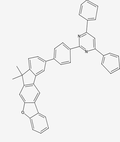 CC1(C)c2ccc(-c3ccc(-c4nc(-c5ccccc5)cc(-c5ccccc5)n4)cc3)cc2-c2cc3c(cc21)oc1ccccc13